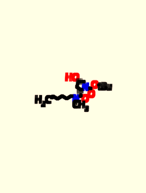 C=CCCCCN(C)C(=O)[C@@H]1C[C@@H](O)CN1C(=O)OC(C)(C)C